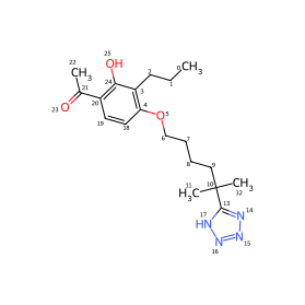 CCCc1c(OCCCCC(C)(C)c2nnn[nH]2)ccc(C(C)=O)c1O